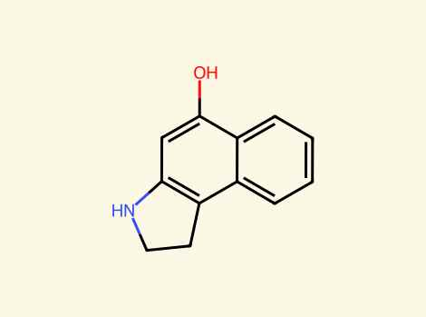 Oc1cc2c(c3ccccc13)CCN2